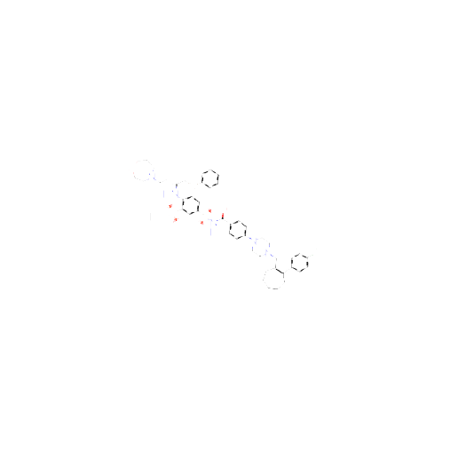 O=C(NS(=O)(=O)c1ccc(N[C@H](CCN2CCCOCC2)CSc2ccccc2)c(S(=O)(=O)C(F)(F)F)c1)c1ccc(N2CCN(CC3=C(c4ccc(Cl)cc4)CCCCC3)CC2)cc1